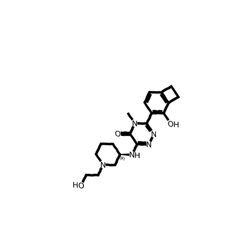 Cn1c(-c2ccc3c(c2O)CC3)nnc(N[C@@H]2CCCN(CCO)C2)c1=O